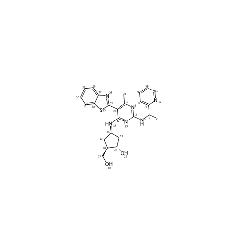 Cc1nc(NC(C)c2ccccn2)nc(N[C@@H]2C[C@H](CO)[C@@H](O)C2)c1-c1nc2ccccc2s1